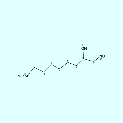 CCCCCCCCCCCCCC(O)CN=O